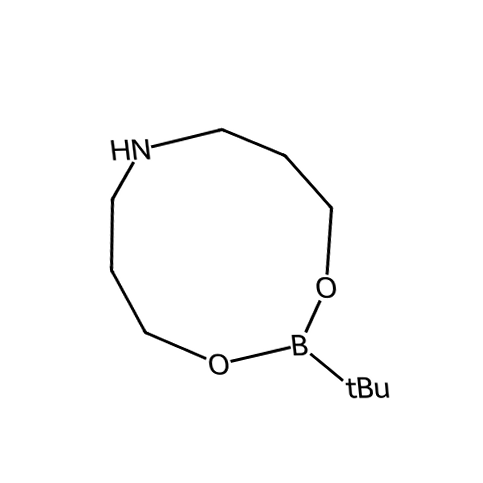 CC(C)(C)B1OCCCNCCCO1